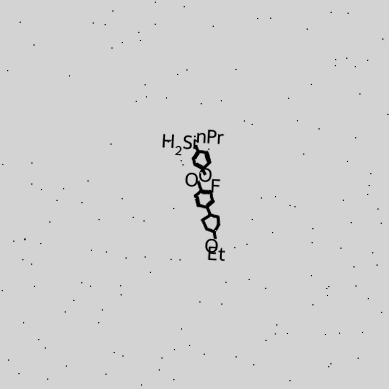 CCC[SiH2]c1ccc(OC(=O)c2ccc(C3CCC(COCC)CC3)cc2F)cc1